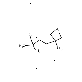 CCC(C)(C)CCC1(C)CCC1